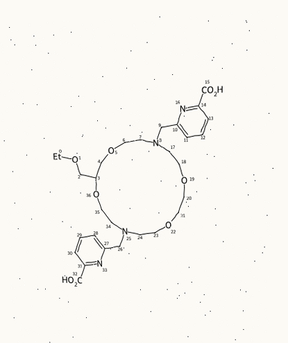 CCOCC1COCCN(Cc2cccc(C(=O)O)n2)CCOCCOCCN(Cc2cccc(C(=O)O)n2)CCO1